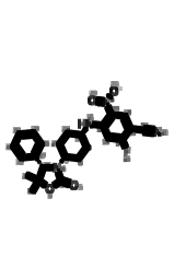 CC1(C)OC(=O)N([C@H]2CC[C@H](Nc3cc(F)c(C#N)cc3[N+](=O)[O-])CC2)[C@H]1c1ccccc1